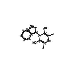 CC(=O)C1=C(C)NC(C)=C(C#N)C1c1csc2ccccc12